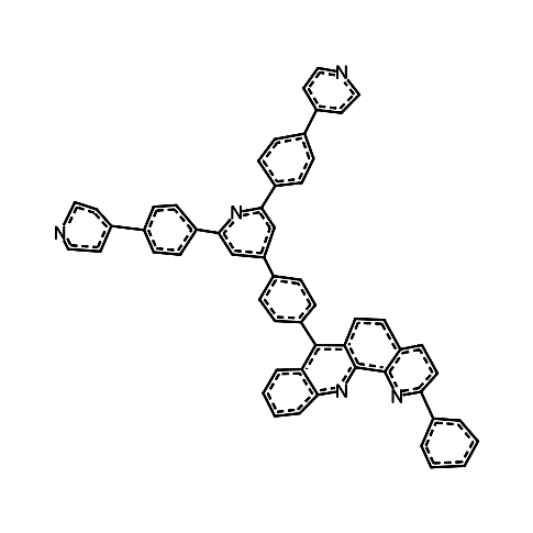 c1ccc(-c2ccc3ccc4c(-c5ccc(-c6cc(-c7ccc(-c8ccncc8)cc7)nc(-c7ccc(-c8ccncc8)cc7)c6)cc5)c5ccccc5nc4c3n2)cc1